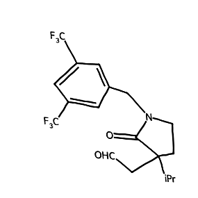 CC(C)C1(CC=O)CCN(Cc2cc(C(F)(F)F)cc(C(F)(F)F)c2)C1=O